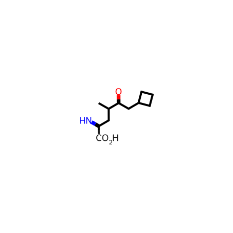 CC(CC(=N)C(=O)O)C(=O)CC1CCC1